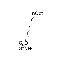 CCCCCCCCCCCCCCCCOS([NH])(=O)=O